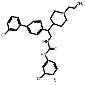 CCCN1CCC(C(CNC(=O)NC2=CC(Cl)[C@@H](F)C=C2)c2ccc(-c3cccc(Cl)c3)cc2)CC1